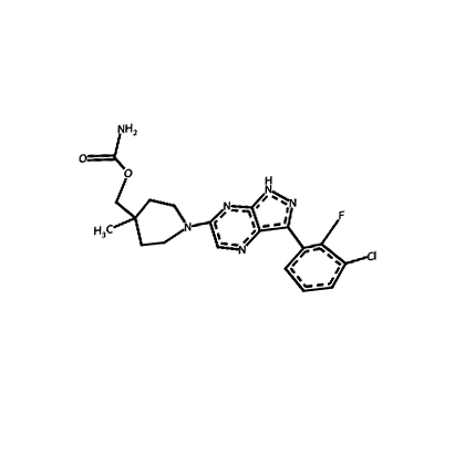 CC1(COC(N)=O)CCN(c2cnc3c(-c4cccc(Cl)c4F)n[nH]c3n2)CC1